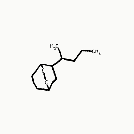 CCCC(C)C1CC2CC[C]1CC2